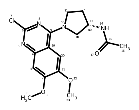 COc1cc2nc(Cl)nc(N3CC[C@H](NC(C)=O)C3)c2cc1OC